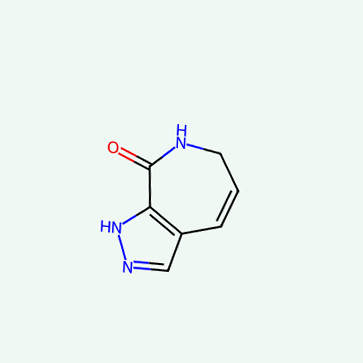 O=C1NCC=Cc2cn[nH]c21